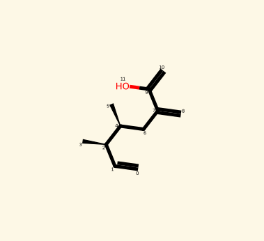 C=C[C@@H](C)[C@@H](C)CC(=C)C(=C)O